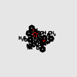 COc1cccc(Cn2cc(COC(=O)N(CC3(Cc4cccc(OC)c4)C=NN=N3)OC(=O)N(CC3(Cc4ccccc4OC)C=NN=N3)C(c3cn(Cc4ccccc4)nn3)(N(C(=O)O)C3CCCCC3)C(C)(C)c3cn(-c4ccccc4)nn3)nn2)c1